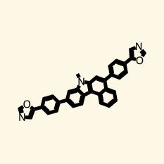 Cn1c2cc(-c3ccc(-c4cnco4)cc3)ccc2c2c3ccccc3c(-c3ccc(-c4cnco4)cc3)cc21